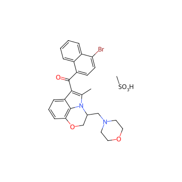 CS(=O)(=O)O.Cc1c(C(=O)c2ccc(Br)c3ccccc23)c2cccc3c2n1C(CN1CCOCC1)CO3